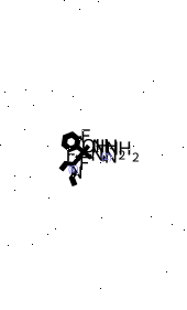 C=C/N=C(\C=C)C(F)(F)C(O)(CN(N)/C=N\N)c1ccccc1F